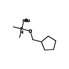 CCCC[PH](C)(C)OCC1CCCC1